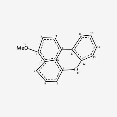 COc1ccc2c3c(cccc13)Oc1ccccc1-2